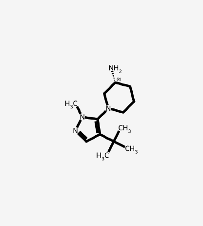 Cn1ncc(C(C)(C)C)c1N1CCC[C@@H](N)C1